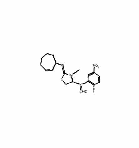 CN1C(=NC2CCCCCC2)SCC1N(C=O)c1cc([N+](=O)[O-])ccc1F